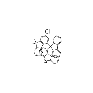 CC1(C)c2ccccc2-c2c1cc(Cl)cc2C1(c2cccc3sc4ccccc4c23)c2ccccc2-c2ccccc21